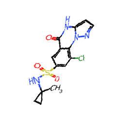 CC1(NS(=O)(=O)c2cc(Cl)c3c(c2)c(=O)[nH]c2ccnn23)CC1